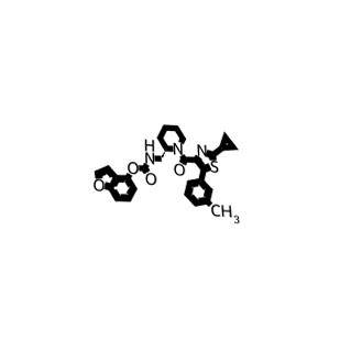 Cc1cccc(-c2sc(C3CC3)nc2C(=O)N2CCCC[C@H]2CNC(=O)Oc2cccc3occc23)c1